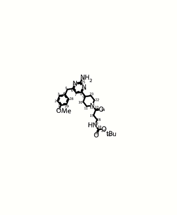 COc1ccc(Cc2cc(C3CCN(C(=O)CCNC(=O)OC(C)(C)C)CC3)nc(N)n2)cc1